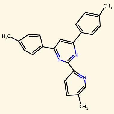 Cc1ccc(-c2cc(-c3ccc(C)cc3)nc(-c3ccc(C)cn3)n2)cc1